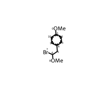 COc1ccc(CC(Br)OC)cc1